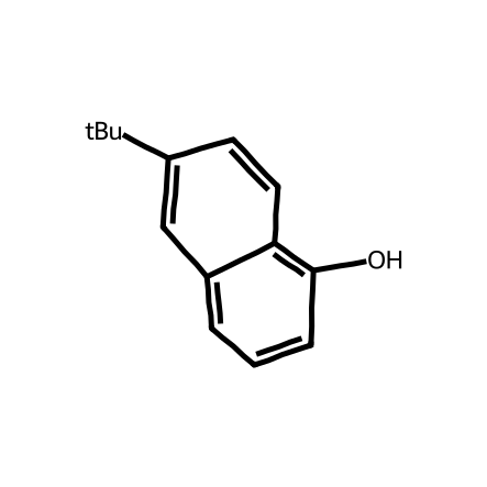 CC(C)(C)c1ccc2c(O)cccc2c1